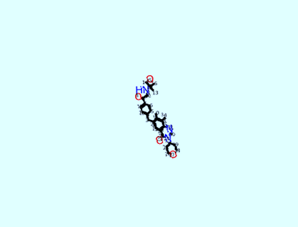 Cc1c(Cc2ccc(C(=O)CNC3(C)COC3)cc2)cc2c(=O)n(C3CCOCC3)cnc2c1C